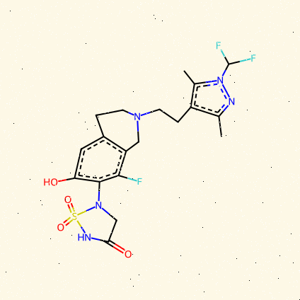 Cc1nn(C(F)F)c(C)c1CCN1CCc2cc(O)c(N3CC(=O)NS3(=O)=O)c(F)c2C1